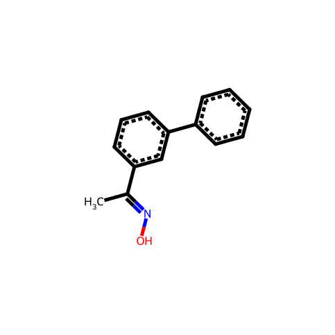 CC(=NO)c1cccc(-c2ccccc2)c1